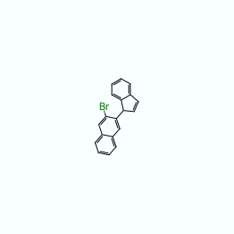 Brc1cc2ccccc2cc1C1C=Cc2ccccc21